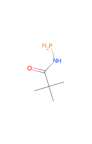 CC(C)(C)C(=O)NP